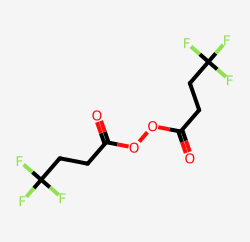 O=C(CCC(F)(F)F)OOC(=O)CCC(F)(F)F